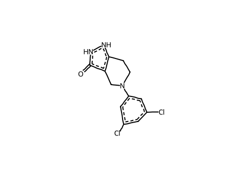 O=c1[nH][nH]c2c1CN(c1cc(Cl)cc(Cl)c1)CC2